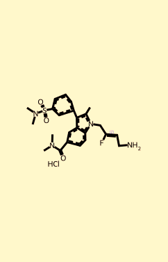 Cc1c(-c2cccc(S(=O)(=O)N(C)C)c2)c2cc(C(=O)N(C)C)ccc2n1C/C(F)=C/CN.Cl